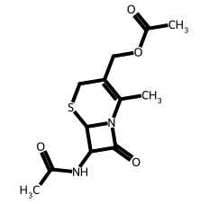 CC(=O)NC1C(=O)N2C(C)=C(COC(C)=O)CSC12